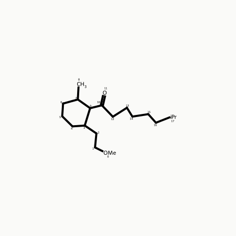 COCCC1CCCC(C)C1C(=O)CCCCCC(C)C